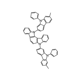 Cc1ccc2c3ccc(-n4c5ccccc5c5c4ccc4c6ccccc6n(-c6ccc7c8ccc(C)cc8n(-c8ccccc8)c7c6)c45)cc3n(-c3ccccc3)c2c1